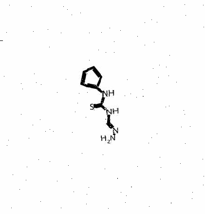 NN=CNC(=S)Nc1ccccc1